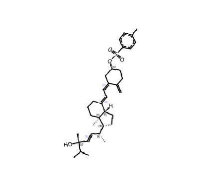 C=C1CC[C@H](OS(=O)(=O)c2ccc(C)cc2)C/C1=C/C=C1\CCC[C@]2(C)[C@@H]([C@H](C)/C=C/[C@@](C)(O)C(C)C)CC[C@@H]12